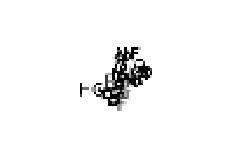 CCc1c(F)ccc2cc(O)cc(-c3ncc4c(N5CCCC(N6CCCCS6(=O)=O)C5)nc(OC[C@@]56CCCN5C[C@H](F)C6)nc4c3F)c12